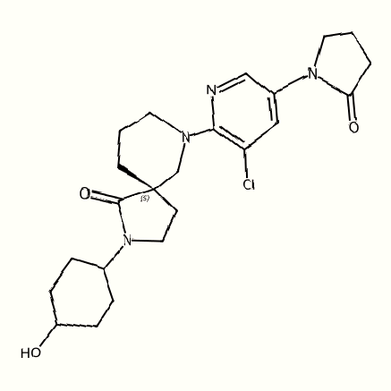 O=C1CCCN1c1cnc(N2CCC[C@]3(CCN(C4CCC(O)CC4)C3=O)C2)c(Cl)c1